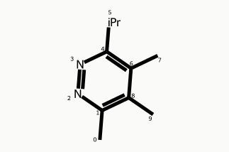 Cc1nnc(C(C)C)c(C)c1C